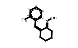 ON=C1CCCCC1=Cc1ccccc1Cl